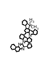 CC1(C)c2ccccc2-c2cc3c4cccc5c4c4c(cccc4n4c6ccccc6c(c21)c34)n5-c1nc2c(ccc3ccccc32)nc1-c1ccccc1